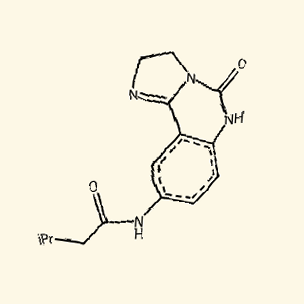 CC(C)CC(=O)Nc1ccc2c(c1)C1=NCCN1C(=O)N2